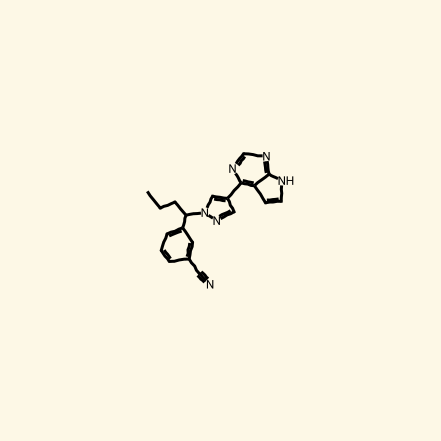 CCCC(c1cccc(C#N)c1)n1cc(-c2ncnc3[nH]ccc23)cn1